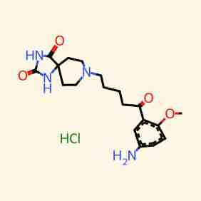 COc1ccc(N)cc1C(=O)CCCCN1CCC2(CC1)NC(=O)NC2=O.Cl